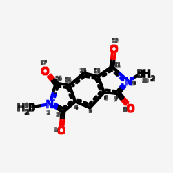 Bn1c(=O)c2cc3c(=O)n(B)c(=O)c3cc2c1=O